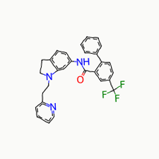 O=C(Nc1ccc2c(c1)N(CCc1ccccn1)CC2)c1cc(C(F)(F)F)ccc1-c1ccccc1